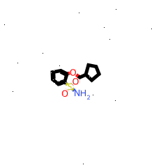 NS(=O)(=O)c1ccccc1OCC1CCCC1